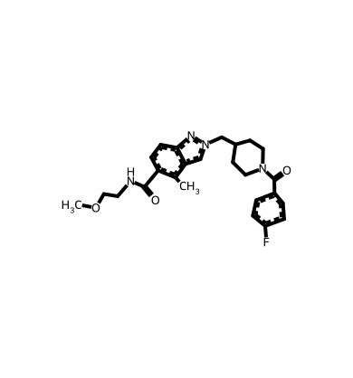 COCCNC(=O)c1ccc2nn(CC3CCN(C(=O)c4ccc(F)cc4)CC3)cc2c1C